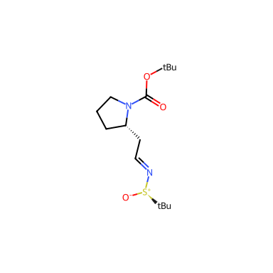 CC(C)(C)OC(=O)N1CCC[C@H]1CC=N[S@+]([O-])C(C)(C)C